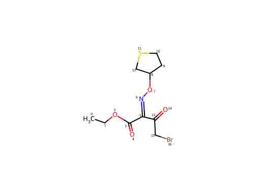 CCOC(=O)/C(=N/OC1CCSC1)C(=O)CBr